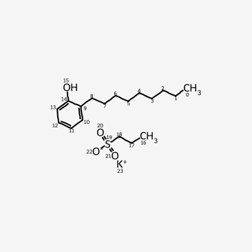 CCCCCCCCCc1ccccc1O.CCCS(=O)(=O)[O-].[K+]